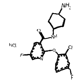 Cl.NC1CCC(NC(=O)c2cc(F)cnc2Oc2ccc(F)cc2Cl)CC1